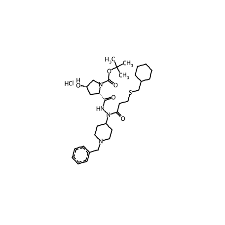 CC(C)(C)OC(=O)N1C[C@H](O)C[C@H]1C(=O)NN(C(=O)CCSCC1CCCCC1)C1CCN(Cc2ccccc2)CC1.Cl